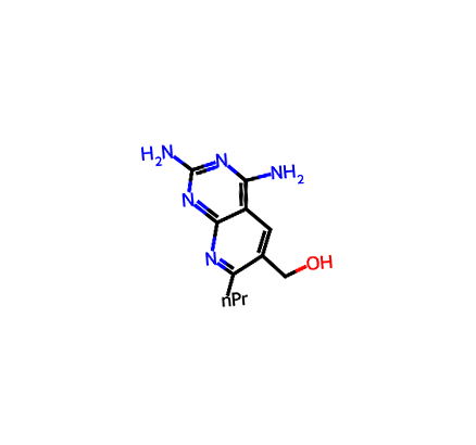 CCCc1nc2nc(N)nc(N)c2cc1CO